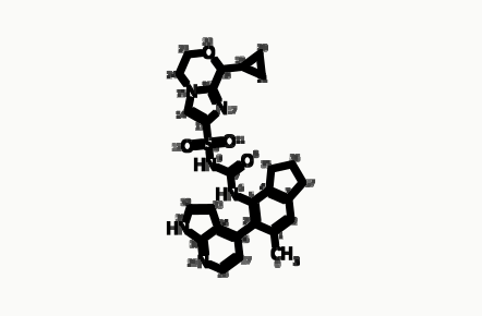 Cc1cc2c(c(NC(=O)NS(=O)(=O)c3cn4c(n3)C(C3CC3)OCC4)c1-c1ccnc3[nH]ccc13)CCC2